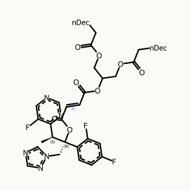 CCCCCCCCCCCC(=O)OCC(COC(=O)CCCCCCCCCCC)OC(=O)/C=C/C(=O)O[C@@](Cn1cncn1)(c1ccc(F)cc1F)[C@@H](C)c1ncncc1F